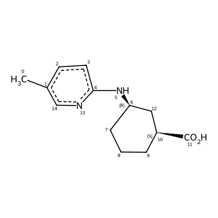 Cc1ccc(N[C@@H]2CCC[C@H](C(=O)O)C2)nc1